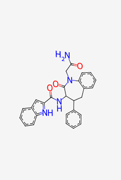 NC(=O)CN1C(=O)C(NC(=O)c2cc3ccccc3[nH]2)C(c2ccccc2)Cc2ccccc21